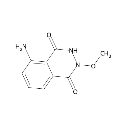 COn1[nH]c(=O)c2c(N)cccc2c1=O